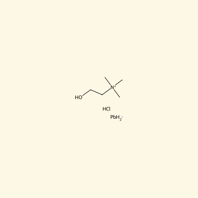 C[N+](C)(C)CCO.Cl.[PbH2]